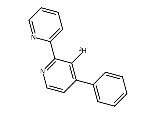 [2H]c1c(-c2ccccc2)ccnc1-c1ccccn1